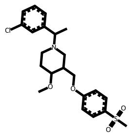 COC1CCN(C(C)c2cccc(Cl)c2)CC1COc1ccc(S(C)(=O)=O)cc1